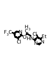 CCc1ncnc(NC[C@@H](C)Oc2ncc(C(F)(F)F)cc2Cl)c1Cl